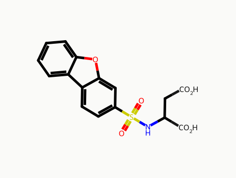 O=C(O)CC(NS(=O)(=O)c1ccc2c(c1)oc1ccccc12)C(=O)O